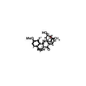 CNc1ccc(OC)c(F)c1C(=N)C(C)C(=O)N1C2CC3(C)CC1CC(O)(C2)C3